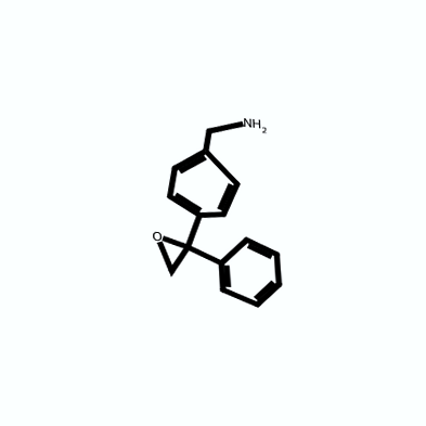 NCc1ccc(C2(c3ccccc3)CO2)cc1